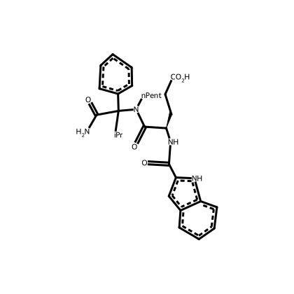 CCCCCN(C(=O)[C@@H](CCC(=O)O)NC(=O)c1cc2ccccc2[nH]1)C(C(N)=O)(c1ccccc1)C(C)C